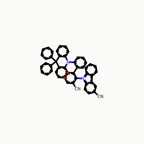 N#Cc1ccc2c(c1)c1ccccc1n2-c1c(C#N)cccc1-c1ccccc1N1c2ccccc2C(c2ccccc2)(c2ccccc2)c2ccccc21